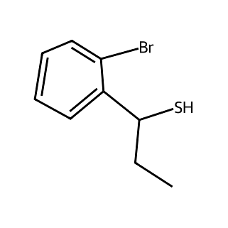 CCC(S)c1ccccc1Br